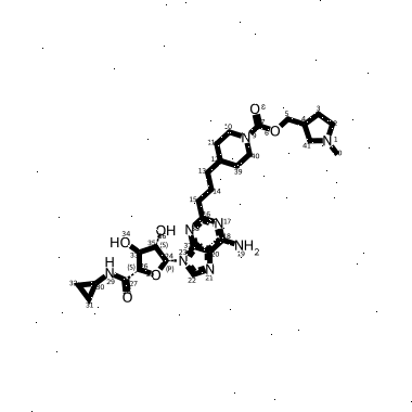 CN1CCC(COC(=O)N2CCC(CCCc3nc(N)c4ncn([C@@H]5O[C@H](C(=O)NC6CC6)C(O)[C@@H]5O)c4n3)CC2)C1